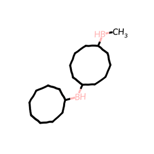 CBC1CCCCC(BC2CCCCCCCC2)CCCC1